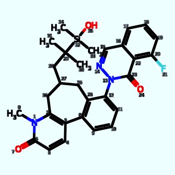 Cn1c2c(ccc1=O)-c1cccc(-n3ncc4cccc(F)c4c3=O)c1CC(CC(C)(C)[Si](C)(C)O)C2